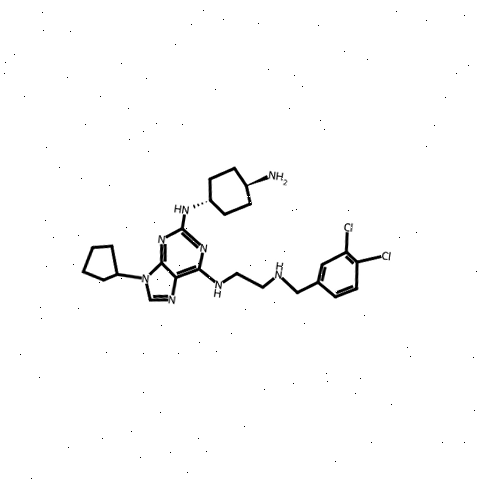 N[C@H]1CC[C@H](Nc2nc(NCCNCc3ccc(Cl)c(Cl)c3)c3ncn(C4CCCC4)c3n2)CC1